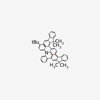 CC(C)(C)c1ccc(N(c2ccccc2-c2ccc3c(c2)C(C)(C)c2ccccc2-3)c2ccccc2-c2cccc3c2C(C)(C)c2ccccc2-3)cc1